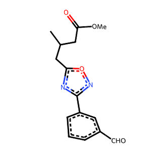 COC(=O)CC(C)Cc1nc(-c2cccc(C=O)c2)no1